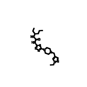 CCCC(CC)NC(=O)Nc1nnc(N2CCN(Cc3cnn(CC)c3)CC2)s1